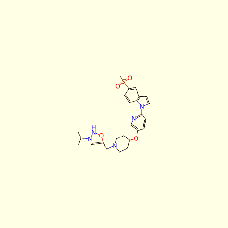 CC(C)N1C=C(CN2CCC(Oc3ccc(-n4ccc5cc(S(C)(=O)=O)ccc54)nc3)CC2)ON1